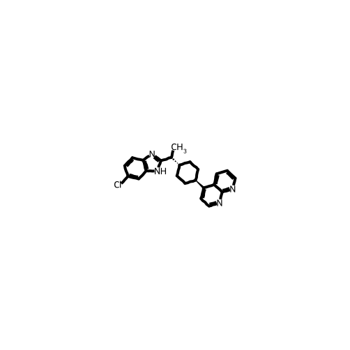 CC(c1nc2ccc(Cl)cc2[nH]1)[C@H]1CC[C@H](c2ccnc3ncccc32)CC1